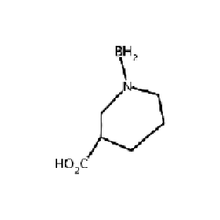 BN1CCCC(C(=O)O)C1